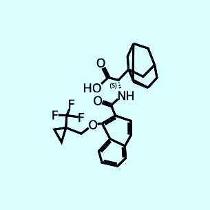 O=C(N[C@H](C(=O)O)C12CC3CC(CC(C3)C1)C2)c1ccc2ccccc2c1OCC1(C(F)(F)F)CC1